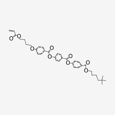 C=CC(=O)OCCCCOc1ccc(C(=O)Oc2ccc(C(=O)Oc3ccc(C(=O)OCCCCC(C)(C)C)cc3)cc2)cc1